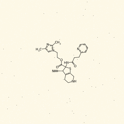 Cc1cn(CCOC(=O)C2(NC(=O)CCc3ccccn3)SC3=C(CCNC3)C2C#N)c(C)n1